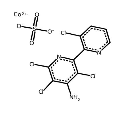 Nc1c(Cl)c(Cl)nc(-c2ncccc2Cl)c1Cl.O=S(=O)([O-])[O-].[Co+2]